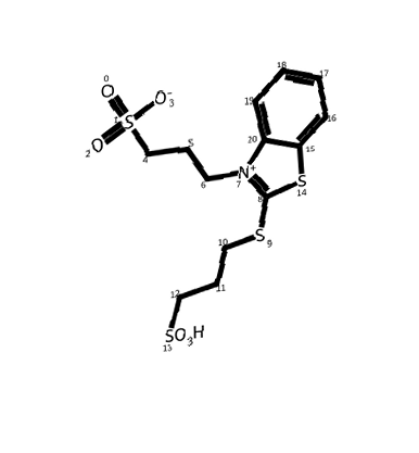 O=S(=O)([O-])CCC[n+]1c(SCCCS(=O)(=O)O)sc2ccccc21